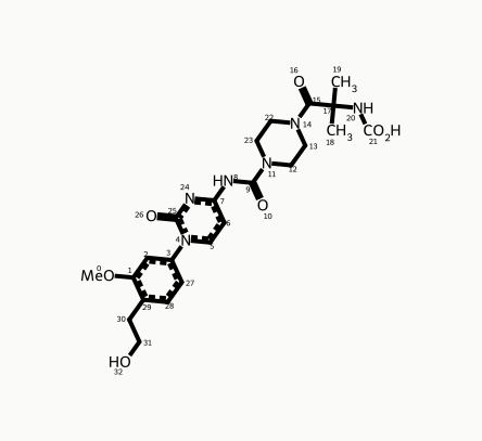 COc1cc(-n2ccc(NC(=O)N3CCN(C(=O)C(C)(C)NC(=O)O)CC3)nc2=O)ccc1CCO